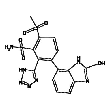 CS(=O)(=O)c1ccc(-c2cccc3nc(O)[nH]c23)c(-c2nnn[nH]2)c1S(N)(=O)=O